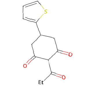 CCC(=O)C1C(=O)CC(c2cccs2)CC1=O